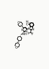 Cc1cccc2nc(C(F)F)n(-c3cc(N4CCOCC4)nc(NC[C@H]4CC[C@H](N5CCOCC5)CC4)n3)c12